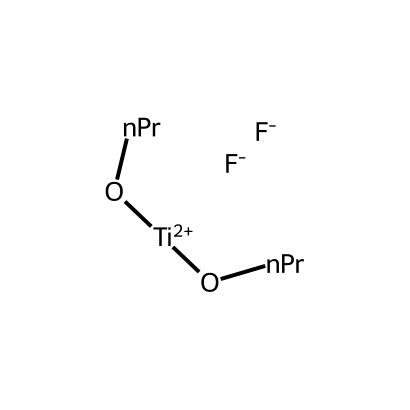 CCC[O][Ti+2][O]CCC.[F-].[F-]